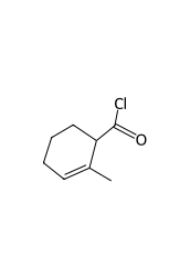 CC1=CCCCC1C(=O)Cl